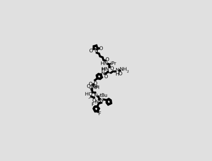 COC[C@@H](CCN(C(=O)[C@H](C)O)[C@@H](c1nc(-c2cc(F)ccc2F)cn1Cc1ccccc1)C(C)(C)C)NC(=O)OCc1ccc(NC(=O)[C@H](CCCNC(N)=O)NC(=O)[C@@H](NC(=O)CCCCCN2C(=O)C=CC2=O)C(C)C)cc1